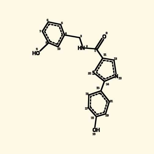 O=C(NCc1cccc(O)c1)c1cnc(-c2ccc(O)cc2)s1